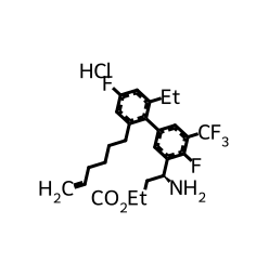 C=CCCCCc1cc(F)cc(CC)c1-c1cc([C@@H](N)CC(=O)OCC)c(F)c(C(F)(F)F)c1.Cl